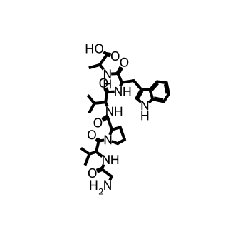 CC(NC(=O)C(Cc1c[nH]c2ccccc12)NC(=O)C(NC(=O)C1CCCN1C(=O)C(NC(=O)CN)C(C)C)C(C)C)C(=O)O